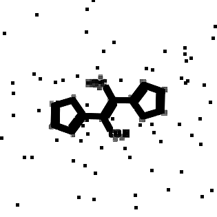 O=C(O)/C(C1=CC=CC1)=C(/C(=O)O)C1=CC=CC1